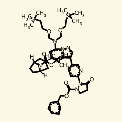 CC(C)(C)OC(=O)N1[C@@H]2CC[C@H]1C[C@H](c1cc(N(COCC[Si](C)(C)C)COCC[Si](C)(C)C)n3ncc(-c4ccc(N5C(=O)CCN5C(=O)OCc5ccccc5)nc4)c3n1)C2